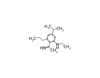 CCCc1cc(C(C)C)cc(NCC)c1C(C)=N